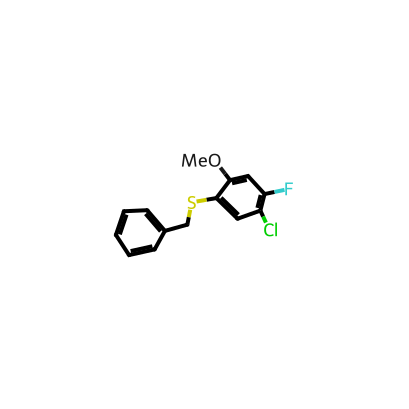 COc1cc(F)c(Cl)cc1SCc1ccccc1